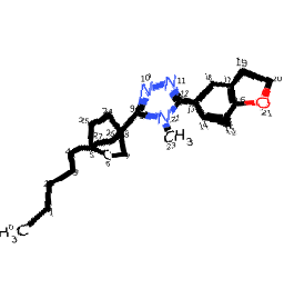 CCCCCC12CCC(c3nnc(-c4ccc5c(c4)CCO5)n3C)(CC1)CC2